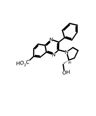 O=C(O)c1ccc2nc(-c3ccccc3)c(N3CCC[C@@H]3CO)nc2c1